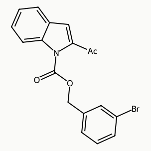 CC(=O)c1cc2ccccc2n1C(=O)OCc1cccc(Br)c1